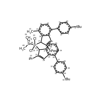 CCCCCC1=Cc2c(-c3ccc(C(C)(C)C)cc3)ccc(C)c2[CH]1[Zr]([Cl])([Cl])([CH]1C(C(C)C)=Cc2c(-c3ccc(C(C)(C)C)cc3)cccc21)[SiH](C)C